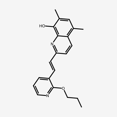 CCCOc1ncccc1/C=C/c1ccc2c(C)cc(C)c(O)c2n1